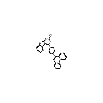 Clc1nc(-c2ccc(-c3cc4ccccc4c4ccccc34)cc2)c2c(n1)sc1ccccc12